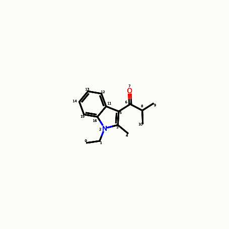 CCn1c(C)c(C(=O)C(C)C)c2ccccc21